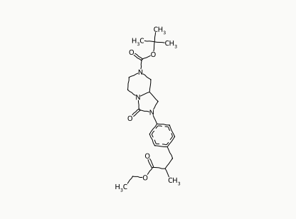 CCOC(=O)C(C)Cc1ccc(N2CC3CN(C(=O)OC(C)(C)C)CCN3C2=O)cc1